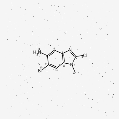 Cn1c(Cl)nc2cc(N)c(Br)cc21